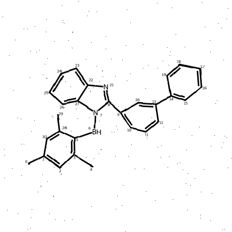 Cc1cc(C)c(Bn2c(-c3cccc(-c4ccccc4)c3)nc3ccccc32)c(C)c1